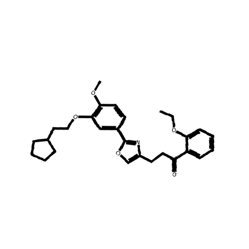 CCOc1ccccc1C(=O)CCc1coc(-c2ccc(OC)c(OCCC3CCCC3)c2)n1